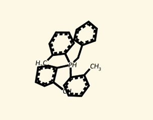 Cc1ccccc1[PH](Cc1ccccc1)(c1ccccc1C)c1ccccc1C